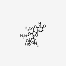 COC1C(OCN)[C@@H]([C@H](C)OP(=O)(O)O)O[C@H]1n1ccc(=O)[nH]c1=O